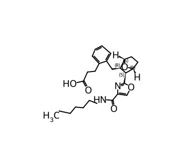 CCCCCCCNC(=O)c1coc([C@H]2[C@@H](Cc3ccccc3CCC(=O)O)[C@@H]3CC[C@H]2O3)n1